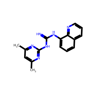 Cc1cc(C)nc(NC(=N)Nc2cccc3cccnc23)n1